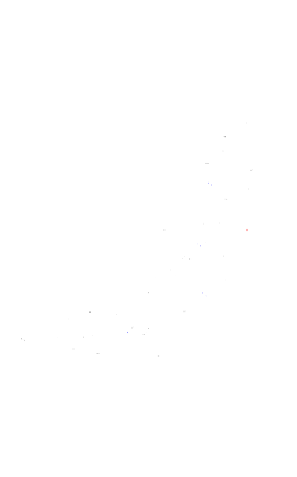 CCN1CCN(C[C@@H](O)[C@H]2Cc3ccccc3CN2)C(=O)c2ccc(C(=O)N3CCC4(CC3)CC(C#N)C4)cc21